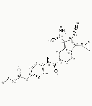 CCOC(=O)Cc1ccc(NC(=O)N2CCn3c(c(C(N)=O)c(C#N)c3C3CC3)C2)cc1